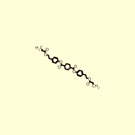 C=CC(=O)OCCc1ccc(OC(=O)C2CCC(C(=O)Oc3ccc(CCOC(=O)C=C)cc3)CC2)cc1